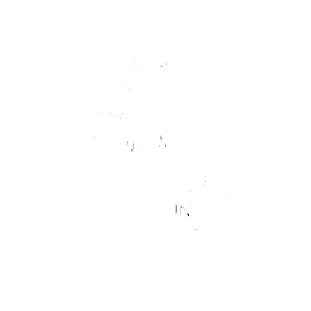 Cc1ccc(Cl)c(NC(=O)C2(C(=O)Nc3nc(C)c(C(=O)Nc4cc(C(F)(F)F)ccc4Cl)s3)CC2)c1